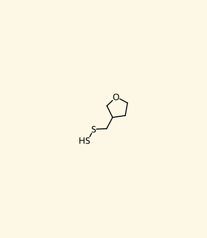 SSCC1CCOC1